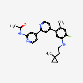 CC(=O)Nc1cc(-c2cc(-c3cc(NCCC4(C)CC4)c(F)cc3C)ccn2)ccn1